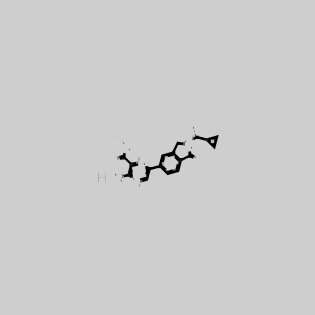 CC(C)NC(=O)c1nc(-c2ccc3c(c2)CN([C@@H](C)C2CC2)C3=O)cnc1N